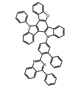 c1ccc(-c2cc(-n3c4ccccc4c4c5oc6ccccc6c5c5c(c6ccccc6n5-c5ccccc5)c43)ccc2-c2nc(-c3ccccc3)c3ccccc3n2)cc1